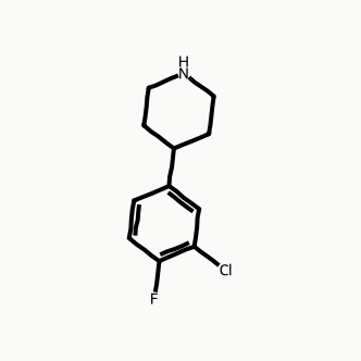 Fc1ccc(C2CCNCC2)cc1Cl